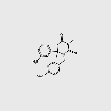 Bc1cccc(C2(C)CC(=O)N(C)C(=N)N2Cc2ccc(OC)cc2)c1